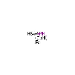 P[SeH].[CaH2].[Fe]